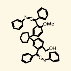 COc1ccc(C2(c3ccc(CO)c(C(=C=Nc4ccccc4)c4ccccc4)c3)CCCCC2)cc1C(=C=Nc1ccccc1)c1ccccc1